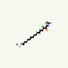 CCCCCCCCCCCCCCC(F)C(=O)c1nccs1